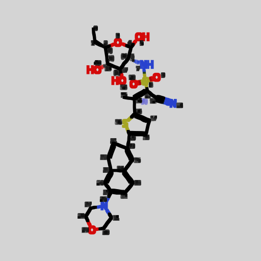 CC[C@H]1OC(O)[C@H](NS(=O)(=O)/C(C#N)=C(\C)c2ccc(-c3ccc4cc(N5CCOCC5)ccc4c3)s2)[C@@H](O)[C@@H]1O